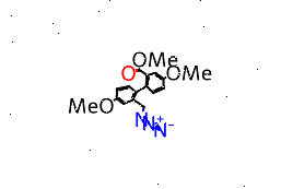 COC(=O)c1cc(OC)ccc1-c1ccc(OC)cc1CN=[N+]=[N-]